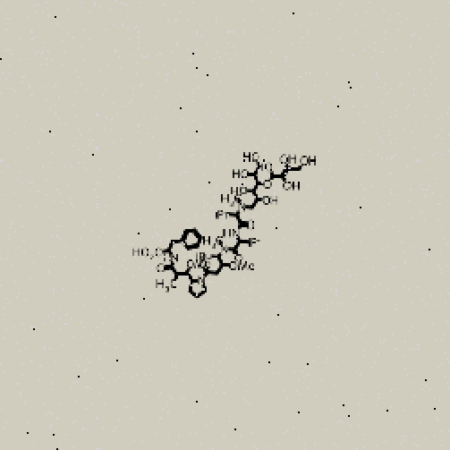 CCC(C)C(C(CC(=O)N1CCCC1C(OC)C(C)C(=O)NC(Cc1ccccc1)C(=O)O)OC)N(C)C(=O)C(NC(=O)C(C(C)C)N(C)CC(O)C(O)C(OC(O)/C(O)=C(\O)CO)C(O)CO)C(C)C